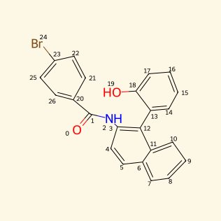 O=C(Nc1ccc2ccccc2c1-c1ccccc1O)c1ccc(Br)cc1